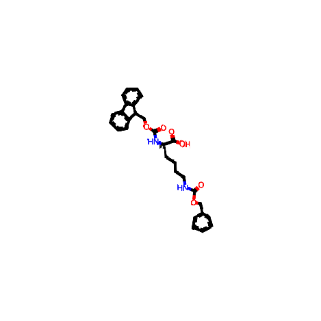 O=C(NCCCC[C@@H](NC(=O)OCC1c2ccccc2-c2ccccc21)C(=O)O)OCc1ccccc1